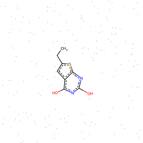 CCc1cc2c(O)nc(O)nc2s1